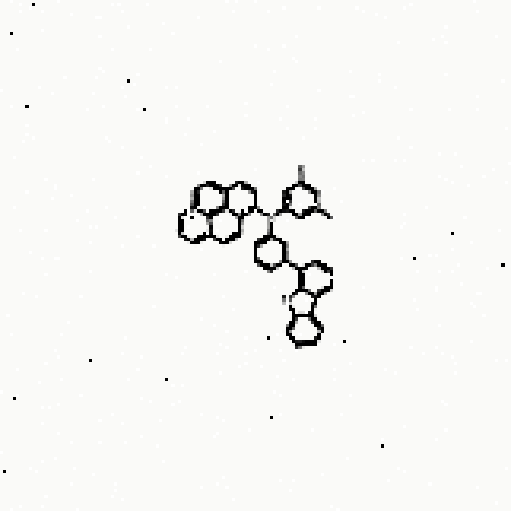 Cc1cc(C)cc(N(c2cccc(-c3cccc4c3oc3ccccc34)c2)c2ccc3ccc4cccc5ccc2c3c45)c1